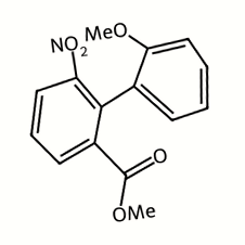 COC(=O)c1cccc([N+](=O)[O-])c1-c1ccccc1OC